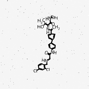 C=C(N[C@H](C(=O)NO)[C@@H](C)O)c1ccc(-c2ccc(NC(=O)CNCc3ccc(Cl)cc3Cl)cc2)cc1